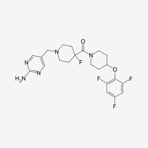 Nc1ncc(CN2CCC(F)(C(=O)N3CCC(Oc4c(F)cc(F)cc4F)CC3)CC2)cn1